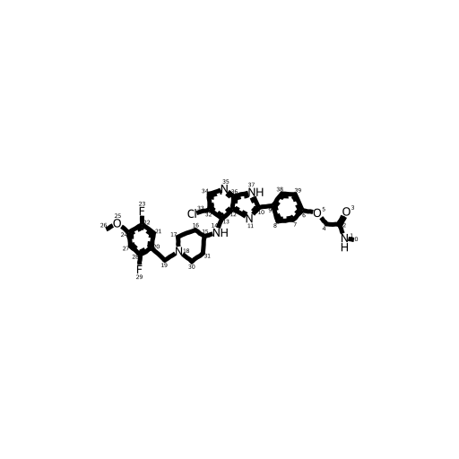 CNC(=O)COc1ccc(-c2nc3c(NC4CCN(Cc5cc(F)c(OC)cc5F)CC4)c(Cl)cnc3[nH]2)cc1